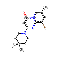 Cc1cc(Br)c2nc(N3CCC(C)(C)CC3)cc(=O)n2c1